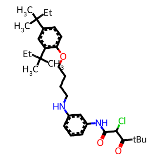 CCC(C)(C)c1ccc(OCCCCNc2cccc(NC(=O)C(Cl)C(=O)C(C)(C)C)c2)c(C(C)(C)CC)c1